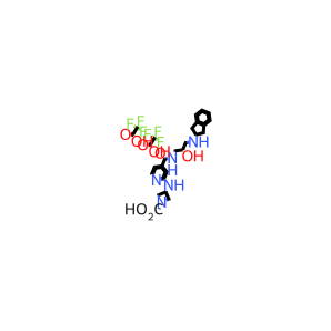 O=C(NCC(O)CNC1Cc2ccccc2C1)c1ccnc(NC2CN(C(=O)O)C2)c1.O=C(O)C(F)(F)F.O=C(O)C(F)(F)F